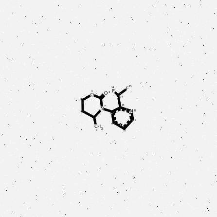 CC1CCOC(=O)N1c1cccnc1C(F)F